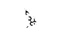 CCOc1cc(-c2ccc(N3CC4[C@@H](N)[C@H]4C3)nc2)c2c(C#N)cnn2c1